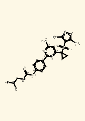 Cc1noc(C)c1S(=O)(=O)C1(c2cc(N)nc(-c3ccc(NC(=O)NCC(F)F)cc3)n2)CC1